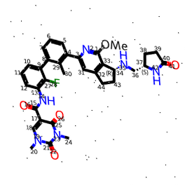 COc1nc(-c2cccc(-c3cccc(NC(=O)c4cn(C)c(=O)n(C)c4=O)c3F)c2C)cc2c1[C@H](NC[C@@H]1CCC(=O)N1)CC2